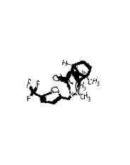 Cn1c2c(c(=O)n1Cc1ccc(C(F)(F)F)o1)[C@H]1CC[C@]2(C)C1(C)C